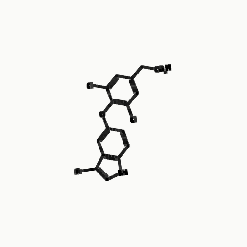 CC(C)c1c[nH]c2ccc(Oc3c(Cl)cc(CC(=O)O)cc3Cl)cc12